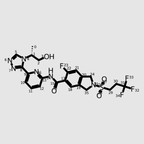 C[C@H](CO)n1cnnc1-c1cccc(NC(=O)c2cc3c(cc2F)CN(S(=O)(=O)CCC(F)(F)F)C3)n1